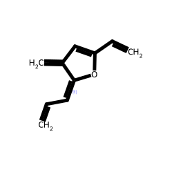 C=C/C=c1/oc(C=C)cc1=C